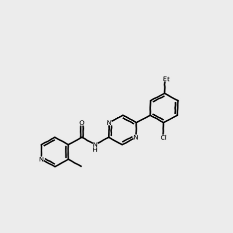 CCc1ccc(Cl)c(-c2cnc(NC(=O)c3ccncc3C)cn2)c1